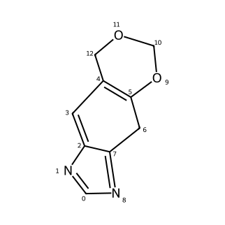 C1=NC2=CC3=C(CC2=N1)OCOC3